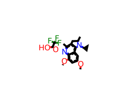 COc1cc(OC)c2nc(C)c3c(c2c1)N(C1CC1)C(C)C3.O=C(O)C(F)(F)F